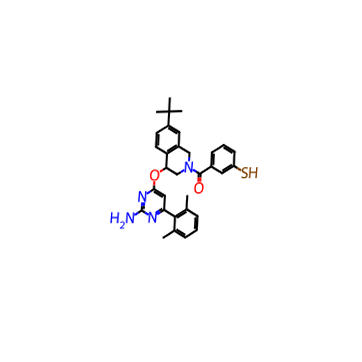 Cc1cccc(C)c1-c1cc(OC2CN(C(=O)c3cccc(S)c3)Cc3cc(C(C)(C)C)ccc32)nc(N)n1